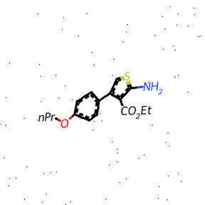 CCCOc1ccc(-c2csc(N)c2C(=O)OCC)cc1